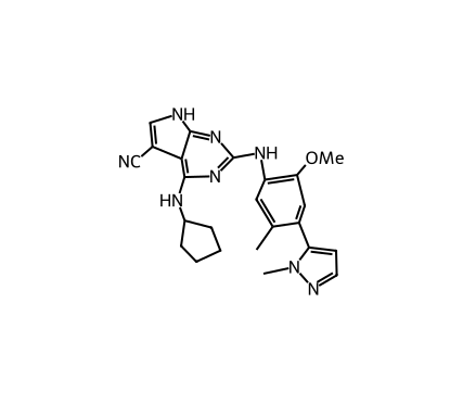 COc1cc(-c2ccnn2C)c(C)cc1Nc1nc(NC2CCCC2)c2c(C#N)c[nH]c2n1